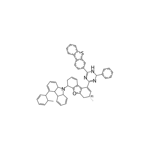 CC1C=CC=CC1C1=CC=CC2C1C1C=CC=CC1N2C1CC=Cc2c1oc1c2C(C2=NC(c3ccccc3)NC(c3ccc4c(c3)sc3ccccc34)=N2)=C[C@H](C)C1